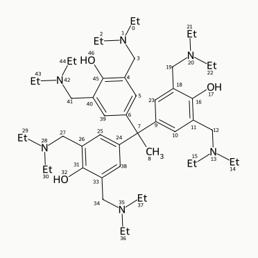 CCN(CC)Cc1cc(C(C)(c2cc(CN(CC)CC)c(O)c(CN(CC)CC)c2)c2cc(CN(CC)CC)c(O)c(CN(CC)CC)c2)cc(CN(CC)CC)c1O